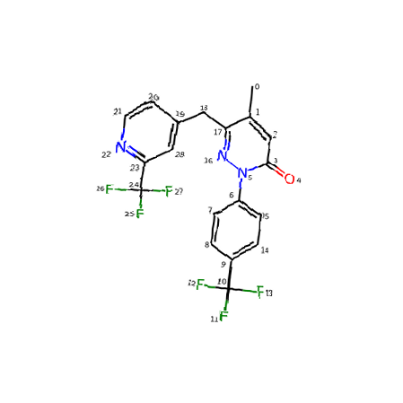 Cc1cc(=O)n(-c2ccc(C(F)(F)F)cc2)nc1Cc1ccnc(C(F)(F)F)c1